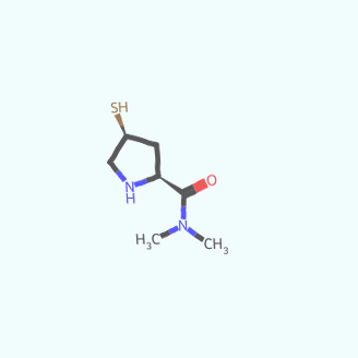 CN(C)C(=O)[C@@H]1C[C@H](S)CN1